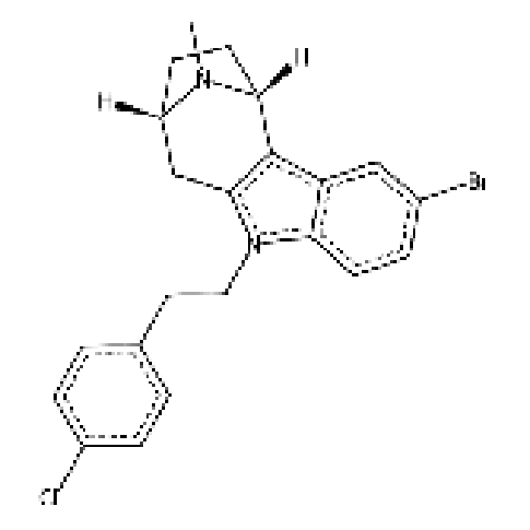 CN1[C@H]2CC[C@@H]1c1c(n(CCc3ccc(Cl)cc3)c3ccc(Br)cc13)C2